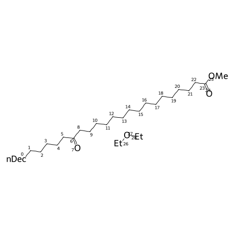 CCCCCCCCCCCCCCCC(=O)CCCCCCCCCCCCCCCC(=O)OC.CCOCC